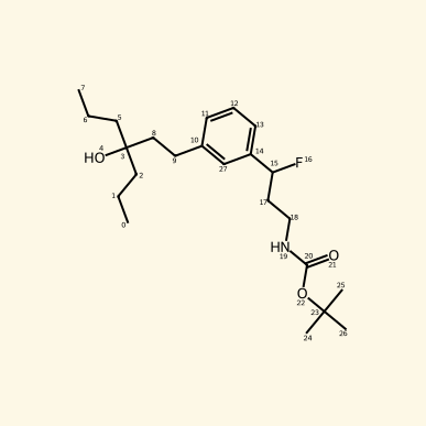 CCCC(O)(CCC)CCc1cccc(C(F)CCNC(=O)OC(C)(C)C)c1